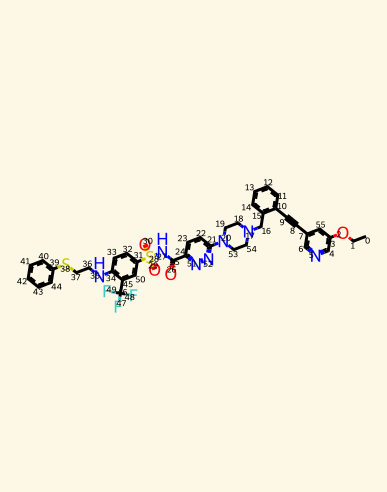 CCOc1cncc(C#Cc2ccccc2CN2CCN(c3ccc(C(=O)NS(=O)(=O)c4ccc(NCCSc5ccccc5)c(C(F)(F)F)c4)nn3)CC2)c1